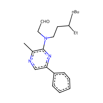 CCCCC(CC)CCN(CC=O)c1nc(-c2ccccc2)cnc1C